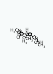 CNC(=O)CN1CCC(c2ccc3[nH]c(-c4cc(Cl)c5nc(C)nn5c4)c(C(C)C)c3c2)CC1